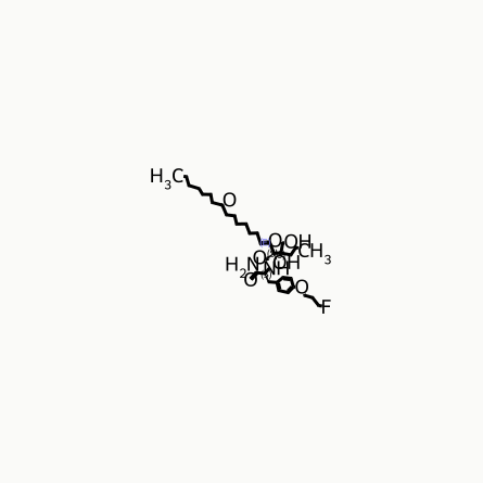 CCCCCCCC(=O)CCCCCC/C=C/[C@H](C(=O)N[C@@H](Cc1ccc(OCCCF)cc1)C(N)=O)[C@@](O)(CCC)C(=O)O